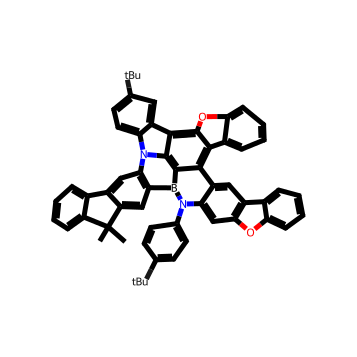 CC(C)(C)c1ccc(N2B3c4cc5c(cc4-n4c6ccc(C(C)(C)C)cc6c6c7oc8ccccc8c7c(c3c64)-c3cc4c(cc32)oc2ccccc24)-c2ccccc2C5(C)C)cc1